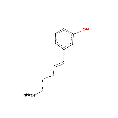 CCCCCCCCCCC=Cc1cccc(O)c1